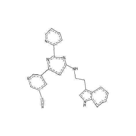 N#Cc1cncc(-c2cc(NCCc3c[nH]c4ccccc34)nc(-c3ccccn3)n2)c1